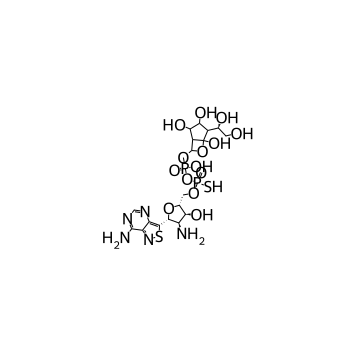 Nc1ncnc2c([C@@H]3O[C@H](COP(=O)(S)OP(=O)(O)OC4OC5(O)C4C(O)C(O)C5[C@@H](O)CO)[C@@H](O)[C@H]3N)snc12